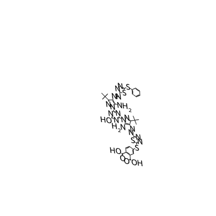 CC(C)(C)c1nn(-c2nc(O)nc(-n3nc(C(C)(C)C)c(N=Nc4nnc(Sc5ccc(C(=O)O)c(C(=O)O)c5)s4)c3N)n2)c(N)c1N=Nc1nnc(Sc2ccccc2)s1